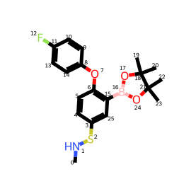 CNSc1ccc(Oc2ccc(F)cc2)c(B2OC(C)(C)C(C)(C)O2)c1